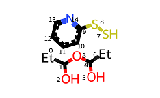 CCC(O)OC(O)CC.SSc1ccccn1